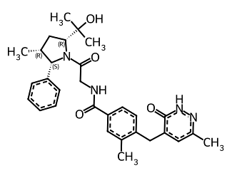 Cc1cc(Cc2ccc(C(=O)NCC(=O)N3[C@H](c4ccccc4)[C@H](C)C[C@@H]3C(C)(C)O)cc2C)c(=O)[nH]n1